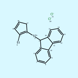 CCC1=[C]([Ti+2][CH]2c3ccccc3-c3ccccc32)CC=C1.[Cl-].[Cl-]